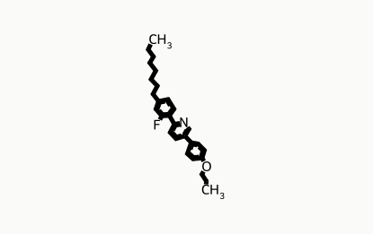 CCCCCCCCc1ccc(-c2ccc(-c3ccc(OCCC)cc3)cn2)c(F)c1